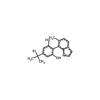 CCC(C)(C)c1cc(O)c(-c2c(C)ccn3ccnc23)c(O)c1